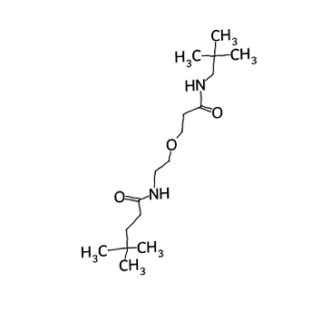 CC(C)(C)CCC(=O)NCCOCCC(=O)NCC(C)(C)C